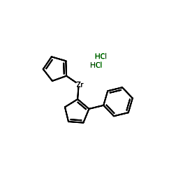 C1=CC[C]([Zr][C]2=C(c3ccccc3)C=CC2)=C1.Cl.Cl